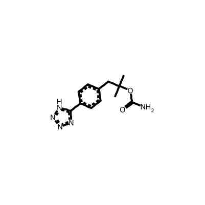 CC(C)(Cc1ccc(-c2nnn[nH]2)cc1)OC(N)=O